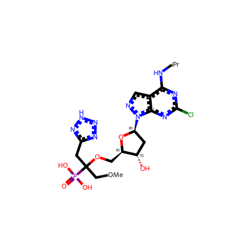 COCC(Cc1nn[nH]n1)(OC[C@H]1O[C@@H](n2ncc3c(NC(C)C)nc(Cl)nc32)C[C@@H]1O)P(=O)(O)O